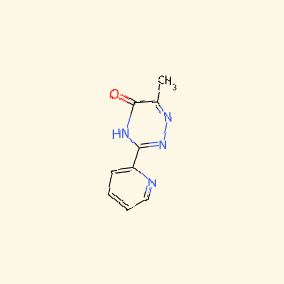 Cc1nnc(-c2ccccn2)[nH]c1=O